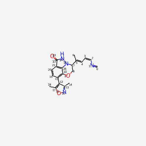 C=N/C=C\C=C(/C)C1COc2c(-c3c(C)noc3C)ccc3c(=O)[nH]n1c23